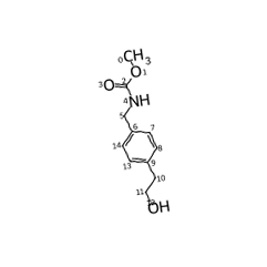 COC(=O)NCc1ccc(CCO)cc1